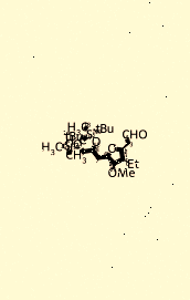 CC[C@H]1[C@H](CC=O)OC(CC(CO[Si](C)(C)C(C)(C)C)O[Si](C)(C)C(C)(C)C)[C@@H]1OC